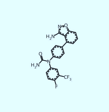 NC(=O)N(c1ccc(-c2cccc3onc(N)c23)cc1)c1ccc(F)c(C(F)(F)F)c1